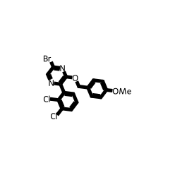 COc1ccc(COc2nc(Br)cnc2-c2cccc(Cl)c2Cl)cc1